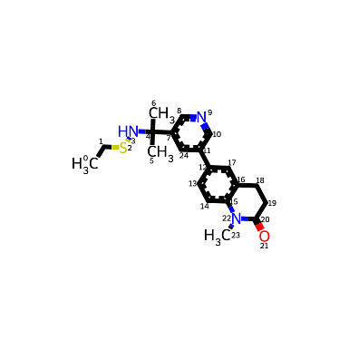 CCSNC(C)(C)c1cncc(-c2ccc3c(c2)CCC(=O)N3C)c1